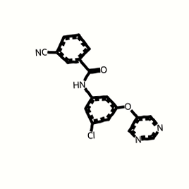 N#Cc1cccc(C(=O)Nc2cc(Cl)cc(Oc3cncnc3)c2)c1